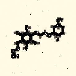 CC(C)[C@H]1CC[C@H](C)C(OCCSc2c(F)c(F)c(SOOO)c(F)c2F)C1